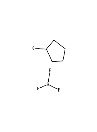 FB(F)F.[K][CH]1CCCC1